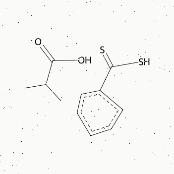 CC(C)C(=O)O.S=C(S)c1ccccc1